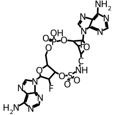 Nc1ncnc2c1ncn2C1OC2COP(=O)(O)OC3C(F)C(CNS(=O)(=O)OC2C1F)OC3n1cnc2c(N)ncnc21